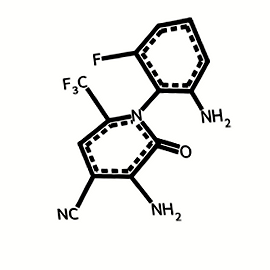 N#Cc1cc(C(F)(F)F)n(-c2c(N)cccc2F)c(=O)c1N